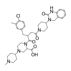 Cc1cc(CC(CC(=O)N2CCC(N3Cc4ccccc4NC3=O)CC2)C(=O)N2CCN(C3CCN(C)CC3)CC2C(=O)O)ccc1Cl